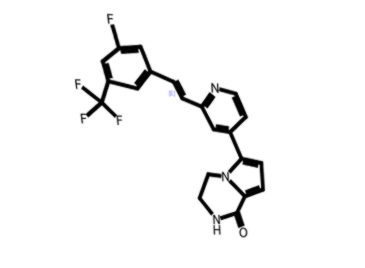 O=C1NCCn2c1ccc2-c1ccnc(/C=C/c2cc(F)cc(C(F)(F)F)c2)c1